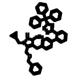 CCCCC1NN(CC2CC2)C(COCc2ccccc2)=C1Cc1ccc(-c2ccccc2-c2nnn(C(c3ccccc3)(c3ccccc3)c3ccccc3)n2)cc1